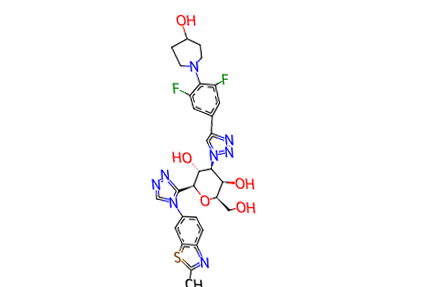 Cc1nc2ccc(-n3cnnc3[C@@H]3O[C@H](CO)[C@H](O)[C@H](n4cc(-c5cc(F)c(N6CCC(O)CC6)c(F)c5)nn4)[C@H]3O)cc2s1